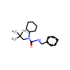 CC(C)(C)CN(C(=O)NCc1ccccc1)C1CCCCC1